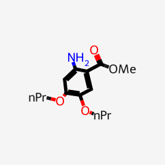 CCCOc1cc(N)c(C(=O)OC)cc1OCCC